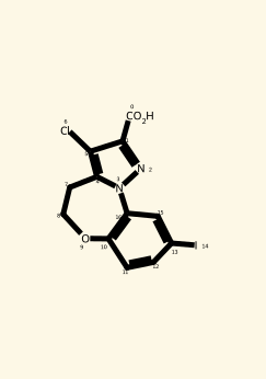 O=C(O)c1nn2c(c1Cl)CCOc1ccc(I)cc1-2